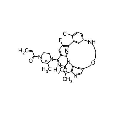 C=CC(=O)N1CCN(c2nc(=O)n3c4nc(c(F)cc24)-c2cc(ccc2Cl)NCCCOCc2cnc(C(C)C)c-3c2)[C@@H](C)C1